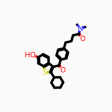 CN(C)C(=O)CCCc1ccc(C(=O)c2c(C3CCCCC3)sc3cc(O)ccc23)cc1